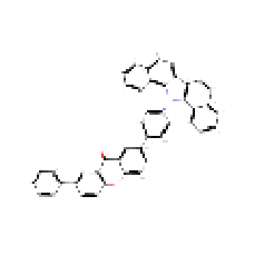 O=c1c2cc(-c3ccccc3)ccc2oc2ccc(-c3ccc(-n4c5c6ccccc6ccc5c5ccc6ccccc6c54)cc3)cc12